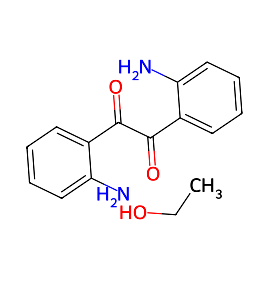 CCO.Nc1ccccc1C(=O)C(=O)c1ccccc1N